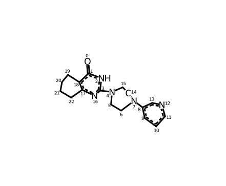 O=c1[nH]c(N2CCN(c3cccnc3)CC2)nc2c1CCCC2